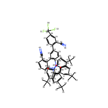 CC(C)(C)c1ccc2c(c1)c1cc(C(C)(C)C)ccc1n2-c1ccc(-c2ccc(C(F)(F)F)cc2C#N)cc1-c1c(C#N)cccc1-n1c2ccc(C(C)(C)C)cc2c2cc(C(C)(C)C)ccc21